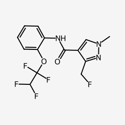 Cn1cc(C(=O)Nc2ccccc2OC(F)(F)C(F)F)c(CF)n1